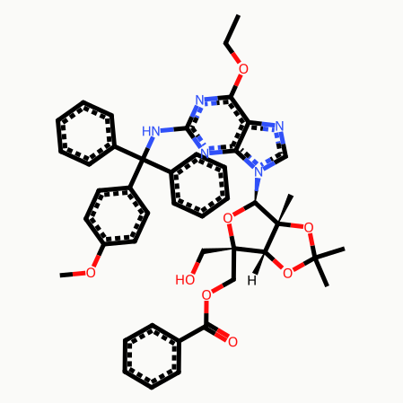 CCOc1nc(NC(c2ccccc2)(c2ccccc2)c2ccc(OC)cc2)nc2c1ncn2[C@@H]1O[C@@](CO)(COC(=O)c2ccccc2)[C@H]2OC(C)(C)O[C@]21C